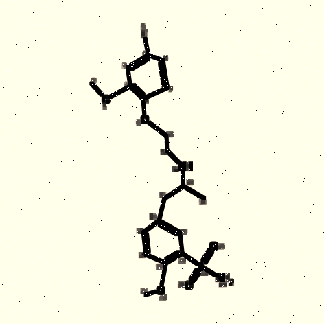 COc1cc(F)ccc1OCCNC(C)Cc1ccc(OC)c(S(N)(=O)=O)c1